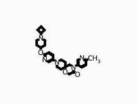 Cc1ccc(N2CC3(CCN(c4ccc(OC5CCN(C6CCC6)CC5)nc4)CC3)OCC2=O)cn1